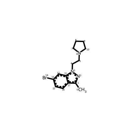 Cc1nn(CCN2CCCC2)c2cc(Br)ccc12